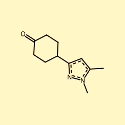 Cc1cc(C2CCC(=O)CC2)nn1C